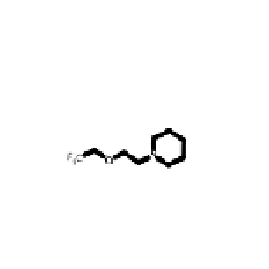 FC(F)(F)[CH]OCCN1CCCCC1